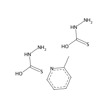 Cc1ccccn1.NNC(O)=S.NNC(O)=S